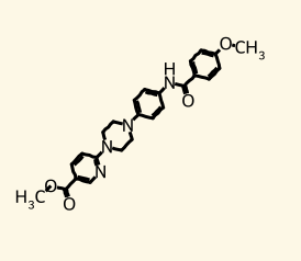 COC(=O)c1ccc(N2CCN(c3ccc(NC(=O)c4ccc(OC)cc4)cc3)CC2)nc1